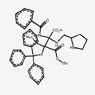 CSCC(SC(c1ccccc1)(c1ccccc1)c1ccccc1)(C(=O)OC(C)(C)C)C(NCC1CCCN1)(NC(=O)c1ccccc1)C(=O)O